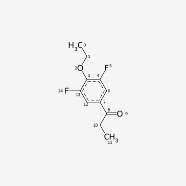 CCOc1c(F)cc(C(=O)CC)cc1F